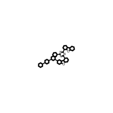 c1ccc(-c2ccc(-c3cccc(-c4ccc5oc6cccc(-c7nc(-c8ccccc8)nc(-c8cccc9c8oc8ccccc89)n7)c6c5c4)c3)cc2)cc1